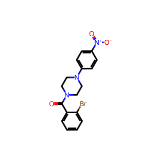 O=C(c1ccccc1Br)N1CCN(c2ccc([N+](=O)[O-])cc2)CC1